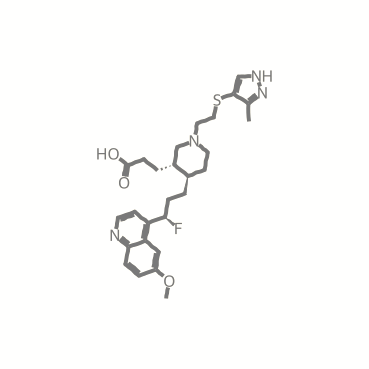 COc1ccc2nccc([C@H](F)CC[C@@H]3CCN(CCSc4c[nH]nc4C)C[C@H]3CCC(=O)O)c2c1